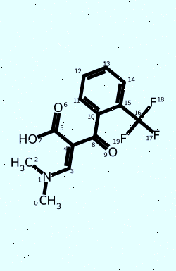 CN(C)C=C(C(=O)O)C(=O)c1ccccc1C(F)(F)F